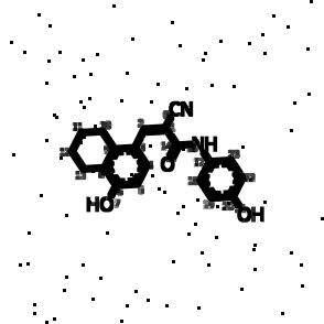 N#CC(=Cc1ccc(O)c2c1CCCC2)C(=O)Nc1ccc(O)cc1